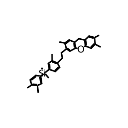 Cc1ccc([Si](C)(C)c2ccc(CCc3cc4c(cc3C)Cc3cc(C)c(C)cc3O4)c(C)c2)cc1C